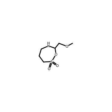 COCC1NCCCS(=O)(=O)O1